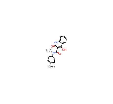 COc1ccc(N(C)C(=O)c2c(O)c3ccccc3[nH]c2=O)cc1